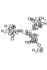 Cc1ncsc1-c1ccc(CNC(=O)[C@@H]2C[C@@H](O)CN2C(=O)/C(=N/C(=O)CN(CCCCCNC(=O)CC2N=C(c3ccc(Cl)cc3)c3c(sc(C)c3C)-n3c(C)nnc32)C(=O)CCCCNC(=O)C[C@@H]2N=C(c3ccc(Cl)cc3)c3c(sc(C)c3C)-n3c(C)nnc32)C(C)(C)C)cc1